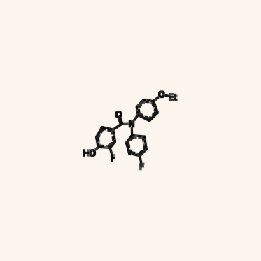 CCOc1ccc(N(C(=O)c2ccc(O)c(F)c2)c2ccc(F)cc2)cc1